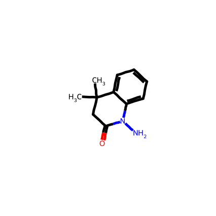 CC1(C)CC(=O)N(N)c2ccccc21